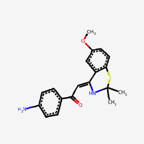 COc1ccc2c(c1)C(=CC(=O)c1ccc(N)cc1)NC(C)(C)S2